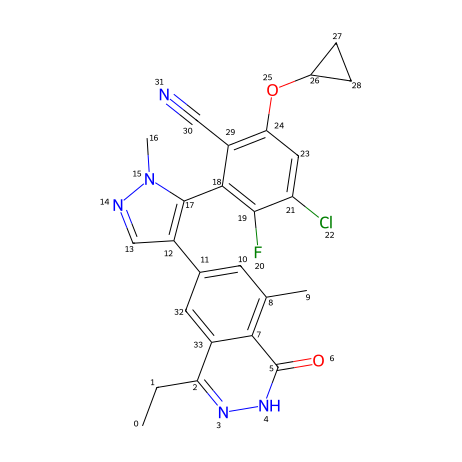 CCc1n[nH]c(=O)c2c(C)cc(-c3cnn(C)c3-c3c(F)c(Cl)cc(OC4CC4)c3C#N)cc12